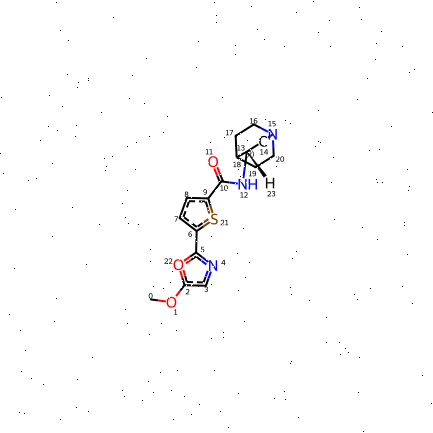 COc1cnc(-c2ccc(C(=O)N[C@H]3CN4CCC3CC4)s2)o1